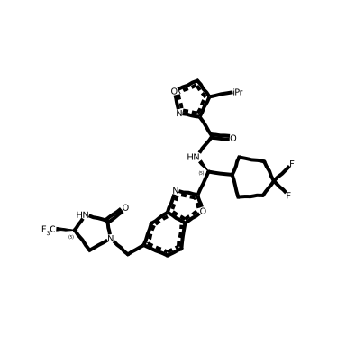 CC(C)c1conc1C(=O)N[C@H](c1nc2cc(CN3C[C@@H](C(F)(F)F)NC3=O)ccc2o1)C1CCC(F)(F)CC1